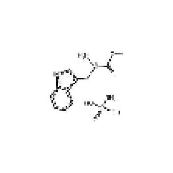 COC(=O)[C@@H](N)Cc1c[nH]c2ccccc12.NP(=O)(O)O